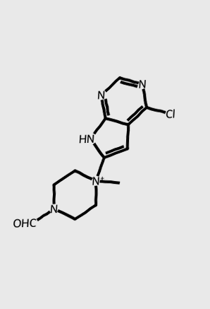 C[N+]1(c2cc3c(Cl)ncnc3[nH]2)CCN(C=O)CC1